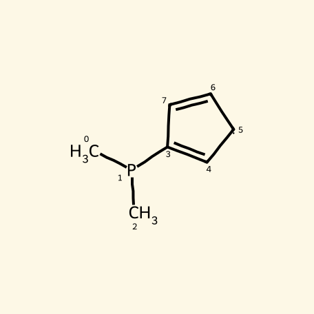 CP(C)C1=C[CH]C=C1